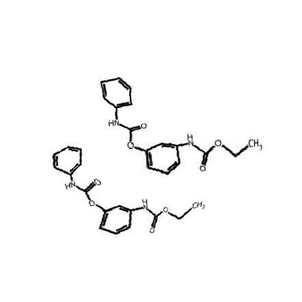 CCOC(=O)Nc1cccc(OC(=O)Nc2ccccc2)c1.CCOC(=O)Nc1cccc(OC(=O)Nc2ccccc2)c1